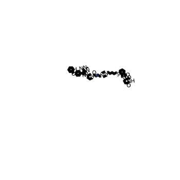 Nc1ncnc2c1c(-c1ccc(Oc3ccccc3)cc1)nn2C1CCCN(C(=O)/C=C/CN2CCN(CCCCCSc3cccc4c3CN(C3CCC(=O)NC3=O)C4=O)CC2)C1